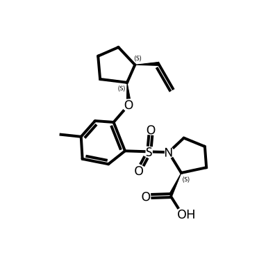 C=C[C@@H]1CCC[C@@H]1Oc1cc(C)ccc1S(=O)(=O)N1CCC[C@H]1C(=O)O